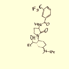 CC[C@@H](O)[C@H]1C[C@H](N(C)C(C)C)CC[C@@H]1N1CCC(NC(=O)c2cccc(C(F)(F)F)c2)C1=O